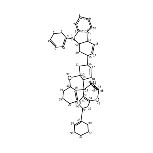 C1=CCCC(N2c3ccccc3C3C=CC(C4C=CC5C(C4)OC4CCCC=C4C54C5=C(CC(C6=CCCCC6)C=C5)OC5=C4CCC=C5)CC32)=C1